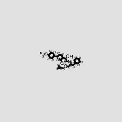 OC(CNC(COCC1CC1)Cc1ccccc1)c1ccc(-c2ccc(C(F)(F)F)cc2)nc1C(F)(F)F